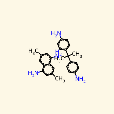 CC(C)(c1ccc(N)cc1)c1ccc(N)cc1.Cc1cc(N)c2cc(C)cc(N)c2c1